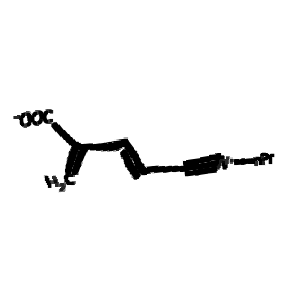 C=C(C=CC#[N+]CCC)C(=O)[O-]